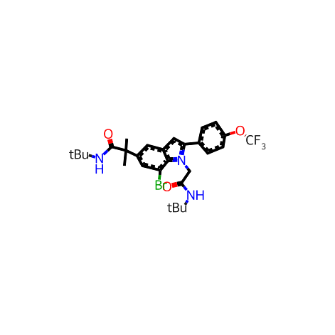 CC(C)(C)NC(=O)Cn1c(-c2ccc(OC(F)(F)F)cc2)cc2cc(C(C)(C)C(=O)NC(C)(C)C)cc(Br)c21